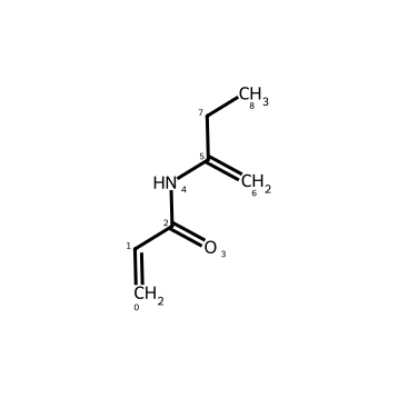 C=CC(=O)NC(=C)CC